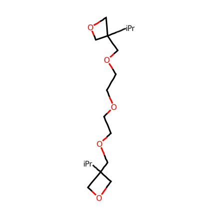 CC(C)C1(COCCOCCOCC2(C(C)C)COC2)COC1